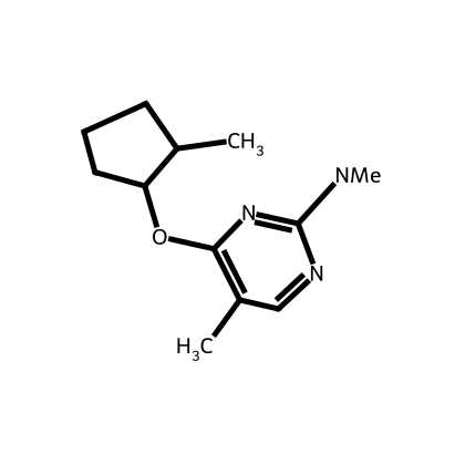 CNc1ncc(C)c(OC2CCCC2C)n1